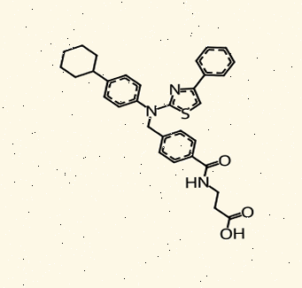 O=C(O)CCNC(=O)c1ccc(CN(c2ccc(C3CCCCC3)cc2)c2nc(-c3ccccc3)cs2)cc1